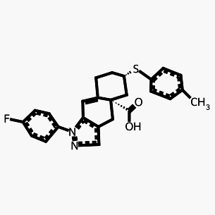 Cc1ccc(S[C@H]2CCC3=Cc4c(cnn4-c4ccc(F)cc4)C[C@]3(C(=O)O)C2)cc1